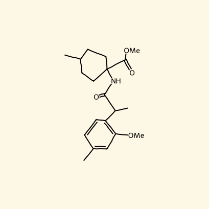 COC(=O)C1(NC(=O)C(C)c2ccc(C)cc2OC)CCC(C)CC1